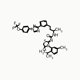 Cc1ccc(C(C)C)c(N2C(=O)CS/C2=N\C(=O)NC(C)CCc2cccc(-c3ncn(-c4ccc(OC(F)(F)F)cc4)n3)c2)c1